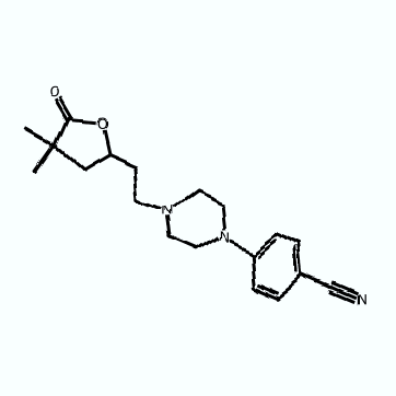 CC1(C)CC(CCN2CCN(c3ccc(C#N)cc3)CC2)OC1=O